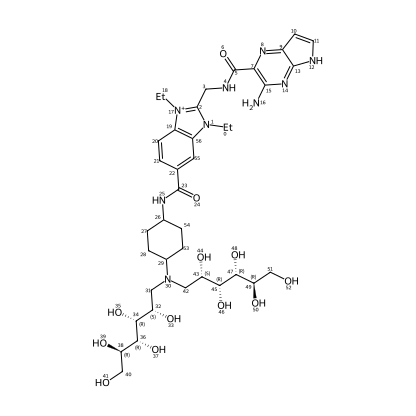 CCn1c(CNC(=O)c2nc3cc[nH]c3nc2N)[n+](CC)c2ccc(C(=O)NC3CCC(N(C[C@H](O)[C@@H](O)[C@H](O)[C@H](O)CO)C[C@H](O)[C@@H](O)[C@H](O)[C@H](O)CO)CC3)cc21